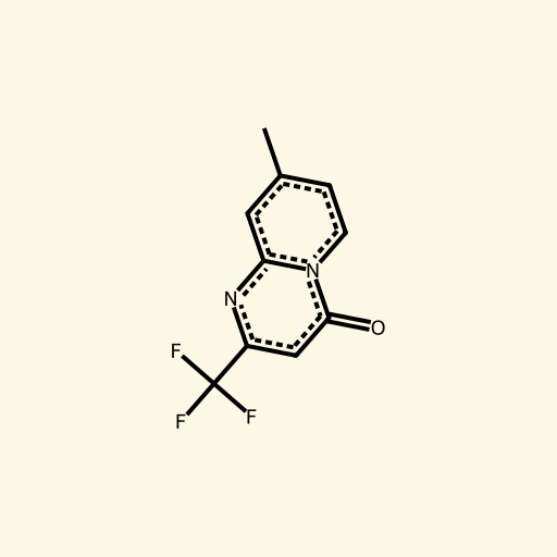 Cc1ccn2c(=O)cc(C(F)(F)F)nc2c1